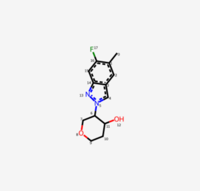 Cc1cc2cn(C3COCCC3O)nc2cc1F